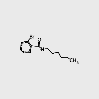 CCCCCC[N]C(=O)c1ccccc1Br